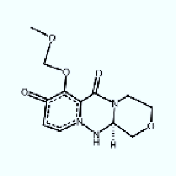 COCOc1c2n(ccc1=O)N[C@@H]1COCCN1C2=O